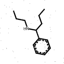 CC[CH]C(NCCC)c1ccccc1